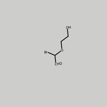 O=CC(Br)OCCO